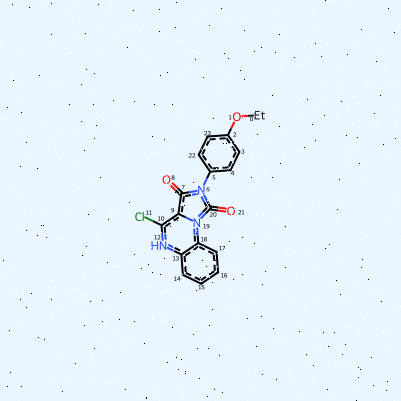 CCOc1ccc(-n2c(=O)c3c(Cl)[nH]c4ccccc4n-3c2=O)cc1